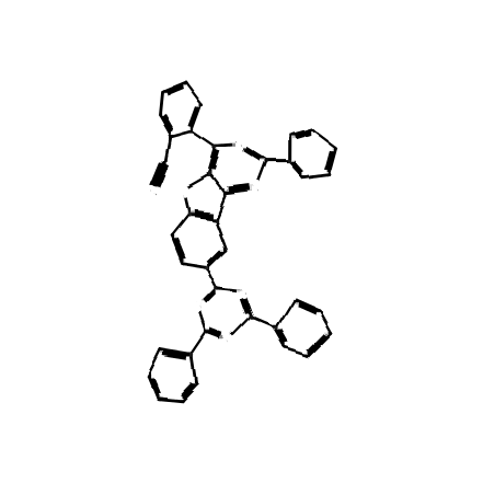 N#Cc1ccccc1-c1nc(-c2ccccc2)nc2c1sc1ccc(-c3nc(-c4ccccc4)nc(-c4ccccc4)n3)cc12